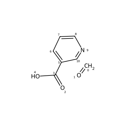 C=O.O=C(O)c1cccnc1